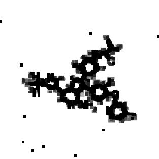 [2H]C([2H])([2H])n1cc(-c2cnc(N)c3c(-c4ccc(Oc5nccc(C)n5)c(F)c4)c(-c4ccc(NC(=O)C(=C)C)cc4C)sc23)cn1